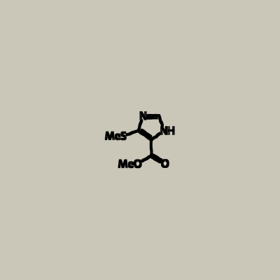 COC(=O)c1[nH]cnc1SC